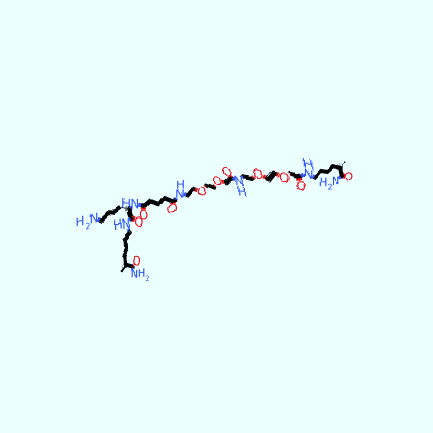 C[C@@H](CCCCNC(=O)COCCOCCNC(=O)COCCOCCNC(=O)CCCC(=O)N[C@@H](CCCCN)C(=O)NCCCC[C@H](C)C(N)=O)C(N)=O